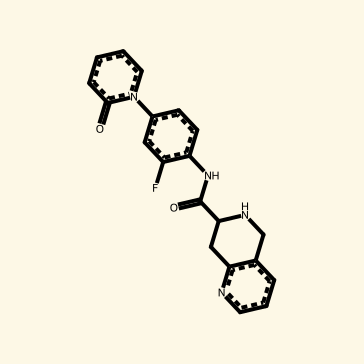 O=C(Nc1ccc(-n2ccccc2=O)cc1F)C1Cc2ncccc2CN1